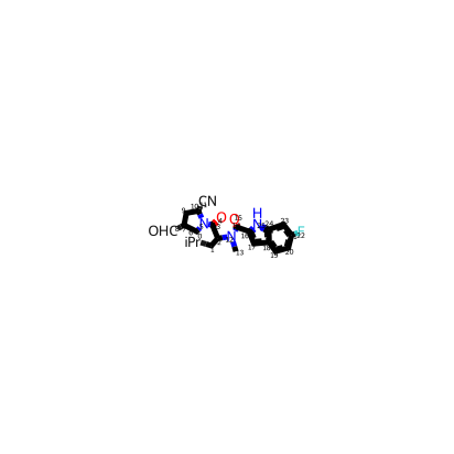 CC(C)CC(C(=O)N1CC(C=O)CC1C#N)N(C)C(=O)c1cc2ccc(F)cc2[nH]1